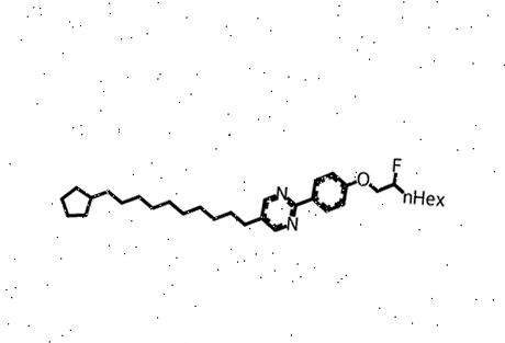 CCCCCCC(F)COc1ccc(-c2ncc(CCCCCCCCCCC3CCCC3)cn2)cc1